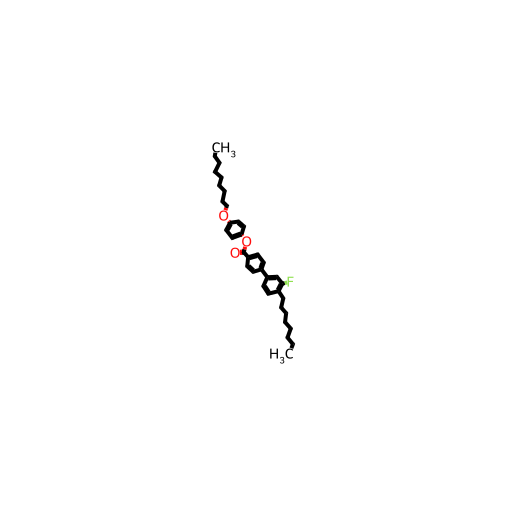 CCCCCCCCCOc1ccc(OC(=O)c2ccc(-c3ccc(CCCCCCCC)c(F)c3)cc2)cc1